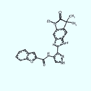 CCN1C(=O)C(C)(C)c2cc3[nH]c(-c4n[nH]cc4NC(=O)c4cc5ccccc5o4)nc3cc21